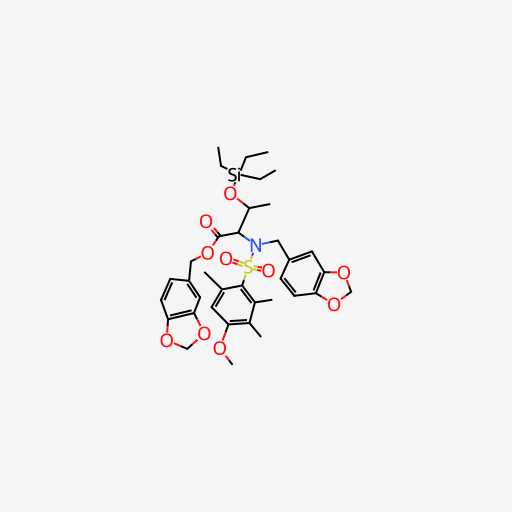 CC[Si](CC)(CC)OC(C)C(C(=O)OCc1ccc2c(c1)OCO2)N(Cc1ccc2c(c1)OCO2)S(=O)(=O)c1c(C)cc(OC)c(C)c1C